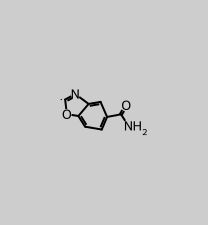 NC(=O)c1ccc2o[c]nc2c1